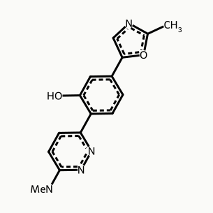 CNc1ccc(-c2ccc(-c3cnc(C)o3)cc2O)nn1